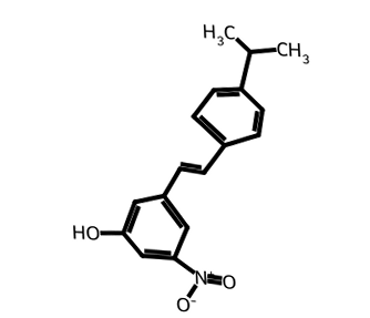 CC(C)c1ccc(/C=C/c2cc(O)cc([N+](=O)[O-])c2)cc1